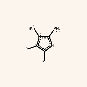 Cc1nc(P)n(C(C)(C)C)c1C